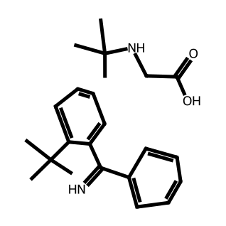 CC(C)(C)NCC(=O)O.CC(C)(C)c1ccccc1C(=N)c1ccccc1